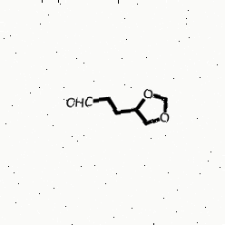 O=CCCC1COCO1